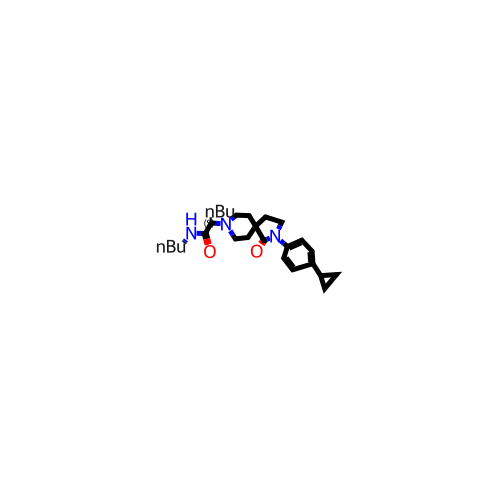 CCCCNC(=O)[C@H](CCCC)N1CCC2(CCN(c3ccc(C4CC4)cc3)C2=O)CC1